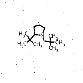 CC(C)(C)CN1CCCC1C(C)(C)C